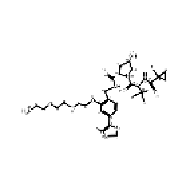 Cc1ncsc1-c1ccc(CNC(=O)[C@@H]2C[C@@H](O)CN2C(=O)[C@@H](NC(=O)C2(F)CC2)C(C)(C)C)c(OCCOCCOCCN)c1